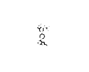 CN(CCN(Cc1cnn(C)c1)C1CCCN(c2ncnc3sc(CC(F)(F)F)cc23)CC1)C(=O)OC(C)(C)C